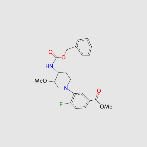 COC(=O)c1ccc(F)c(N2CCC(NC(=O)OCc3ccccc3)C(OC)C2)c1